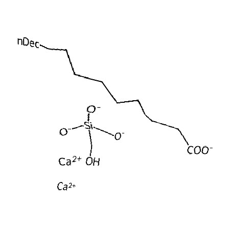 CCCCCCCCCCCCCCCCCC(=O)[O-].[Ca+2].[Ca+2].[O-][Si]([O-])([O-])O